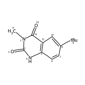 Cn1c(=O)[nH]c2ccc(C(C)(C)C)cc2c1=O